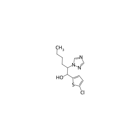 CCCCC(C(O)c1ccc(Cl)s1)n1cncn1